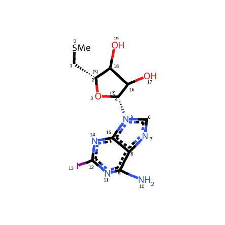 CSC[C@H]1O[C@@H](n2cnc3c(N)nc(I)nc32)C(O)C1O